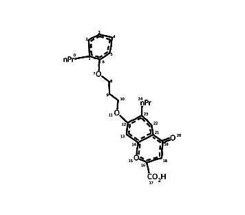 CCCc1ccccc1OCCCOc1cc2oc(C(=O)O)cc(=O)c2cc1CCC